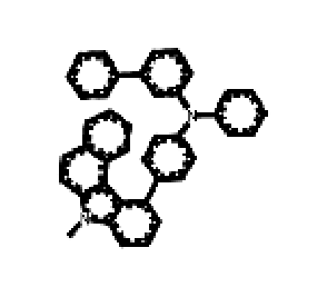 Cn1c2cccc(-c3ccc(N(c4ccccc4)c4cccc(-c5ccccc5)c4)cc3)c2c2c3ccccc3ccc21